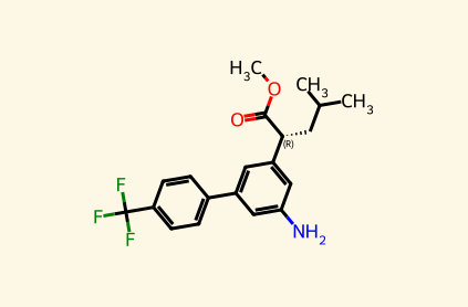 COC(=O)[C@H](CC(C)C)c1cc(N)cc(-c2ccc(C(F)(F)F)cc2)c1